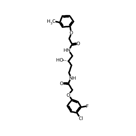 Cc1cccc(OCC(=O)NC[C@@H](O)CCNC(=O)COc2ccc(Cl)c(F)c2)c1